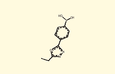 CCc1nnc(-c2ccc(B(O)O)cc2)o1